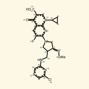 CON=C1CN(c2nc3c(cc2F)c(=O)c(C(=O)O)cn3C2CC2)CC1CNc1cncc(Cl)n1